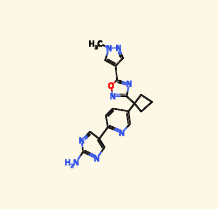 Cn1cc(-c2nc(C3(c4ccc(-c5cnc(N)nc5)nc4)CCC3)no2)cn1